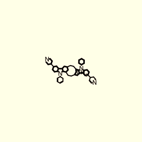 Cc1c2cc3c4cc(C5C=CN=CC5)ccc4n(-c4ccccc4)c3c1CCc1cc(c3c(c1)c1cc(-c4ccncc4)ccc1n3C1C=CC=CC1)CC2